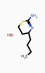 Br.CCCCC1CCSC(N)=N1